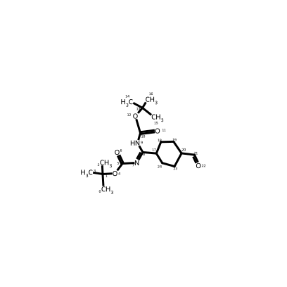 CC(C)(C)OC(=O)N=C(NC(=O)OC(C)(C)C)C1CCC(C=O)CC1